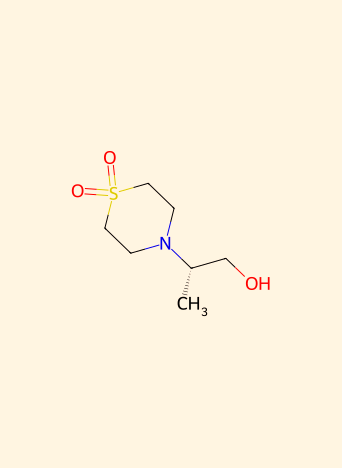 C[C@@H](CO)N1CCS(=O)(=O)CC1